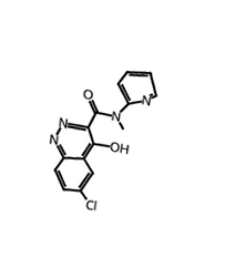 CN(C(=O)c1nnc2ccc(Cl)cc2c1O)c1ccccn1